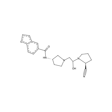 N#C[C@@H]1CCCN1C(O)CN1CC[C@H](NC(=O)c2ccc3occc3c2)C1